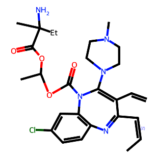 C=CC1=C(N2CCN(C)CC2)N(C(=O)OC(C)OC(=O)C(C)(N)CC)c2cc(Cl)ccc2N=C1/C=C\C